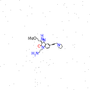 COCCc1[nH]nc2c1c(=O)n(CCCN)c1ccc(C#CCN3CCCC3)cc21